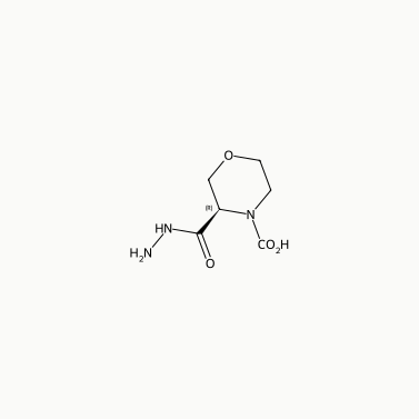 NNC(=O)[C@H]1COCCN1C(=O)O